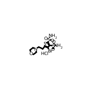 Cl.NS(=O)(=O)c1sc(CCN2CCOCC2)c(Br)c1S(N)(=O)=O